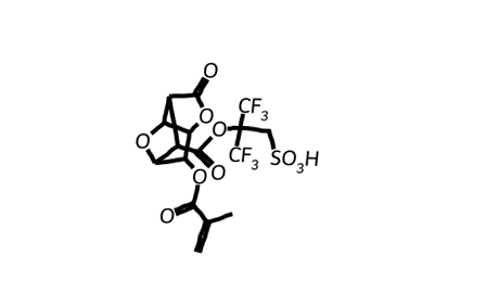 C=C(C)C(=O)OC1C2OC(=O)C3C2OC1C3C(=O)OC(CS(=O)(=O)O)(C(F)(F)F)C(F)(F)F